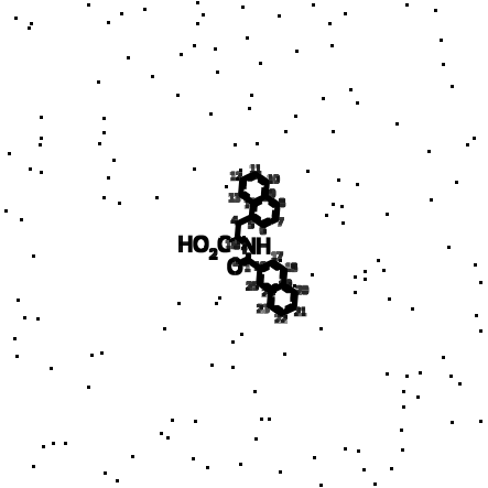 O=C(N[C@@H](Cc1cccc2ccccc12)C(=O)O)c1ccc2ccccc2c1